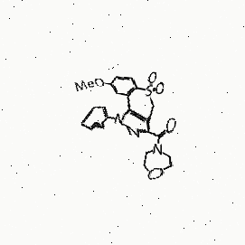 COc1ccc2c(c1)-c1c(c(C(=O)N3CCOCC3)nn1-c1ccccc1)CS2(=O)=O